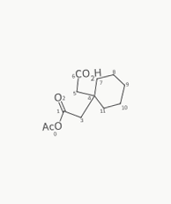 CC(=O)OC(=O)CC1(CC(=O)O)CCCCC1